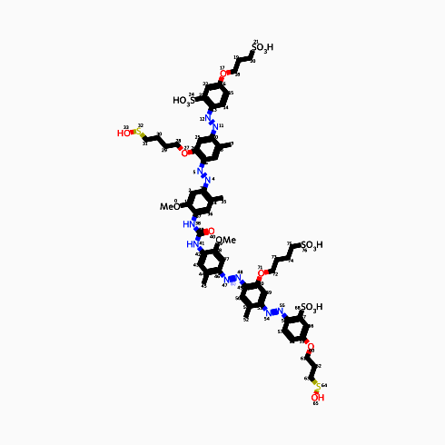 COc1cc(N=Nc2cc(C)c(N=Nc3ccc(OCCCS(=O)(=O)O)cc3S(=O)(=O)O)cc2OCCCCSO)c(C)cc1NC(=O)Nc1cc(C)c(/N=N/c2cc(C)c(N=Nc3ccc(OCCCSO)cc3S(=O)(=O)O)cc2OCCCCS(=O)(=O)O)cc1OC